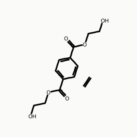 C=C.O=C(OCCO)c1ccc(C(=O)OCCO)cc1